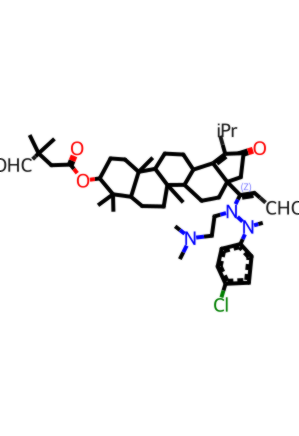 CC(C)C1=C2C3CCC4C(C)(CCC5C(C)(C)C(OC(=O)CC(C)(C)C=O)CCC54C)C3CCC2(/C(=C/C=O)N(CCN(C)C)N(C)c2ccc(Cl)cc2)CC1=O